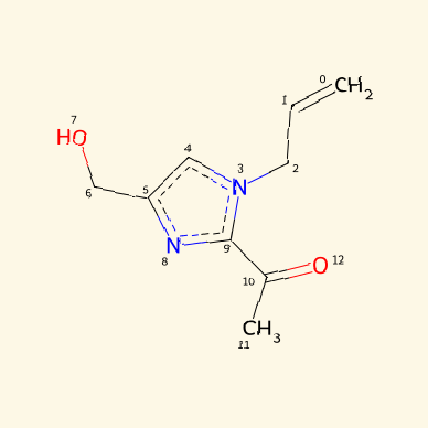 C=CCn1cc(CO)nc1C(C)=O